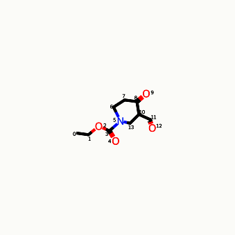 CCOC(=O)N1CCC(=O)C(C=O)C1